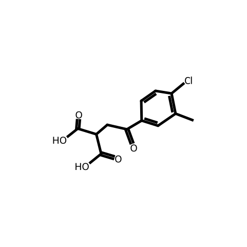 Cc1cc(C(=O)CC(C(=O)O)C(=O)O)ccc1Cl